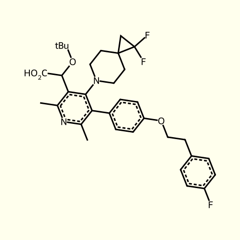 Cc1nc(C)c(C(OC(C)(C)C)C(=O)O)c(N2CCC3(CC2)CC3(F)F)c1-c1ccc(OCCc2ccc(F)cc2)cc1